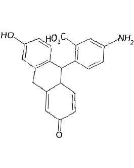 Nc1ccc(C2c3ccc(O)cc3CC3=CC(=O)C=CC32)c(C(=O)O)c1